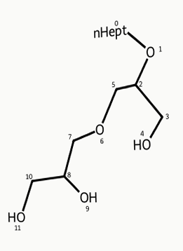 CCCCCCCOC(CO)COCC(O)CO